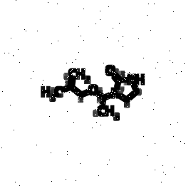 C=C(C)COC(C)N1CCNC1=O